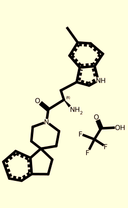 Cc1ccc2[nH]cc(C[C@@H](N)C(=O)N3CCC4(CCc5ccccc54)CC3)c2c1.O=C(O)C(F)(F)F